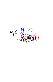 CCCCNC(=O)CC(C[C@@H]1OC(C)(C)N(C(=O)O)[C@H]1CC1CCCCC1)C(C)C